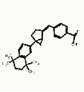 CC1(C)CCC(C)(C)c2cc(C34CCC(=Cc5ccc(C(=O)O)cc5)C3C4)ccc21